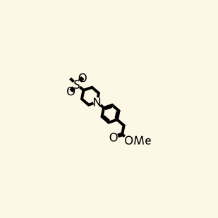 COC(=O)Cc1ccc(N2CCC(S(C)(=O)=O)CC2)cc1